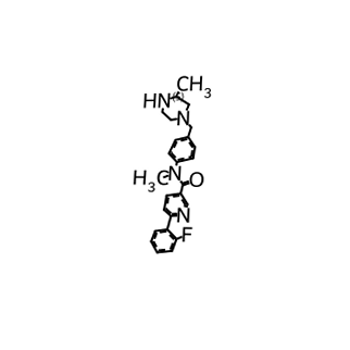 C[C@H]1CN(Cc2ccc(N(C)C(=O)c3ccc(-c4ccccc4F)nc3)cc2)CCN1